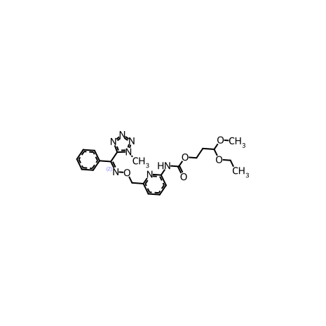 CCOC(CCOC(=O)Nc1cccc(CO/N=C(/c2ccccc2)c2nnnn2C)n1)OC